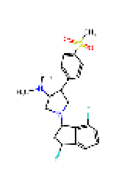 CN(C)C1CN(C2C[C@H](F)c3cccc(F)c32)CC1c1ccc(S(C)(=O)=O)cc1